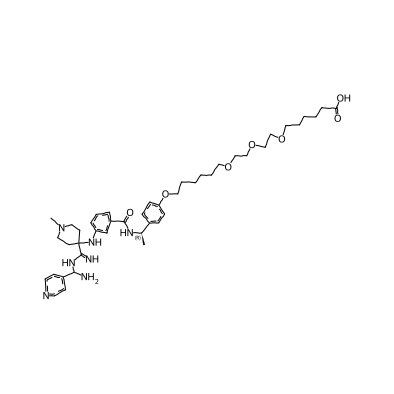 C[C@@H](NC(=O)c1cccc(NC2(C(=N)NC(N)c3ccncc3)CCN(C)CC2)c1)c1ccc(OCCCCCCOCCOCCOCCCCCC(=O)O)cc1